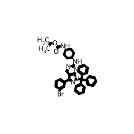 CC(C)OC(=O)N[C@H]1CC[C@H](Nc2ncc3c(-c4cccc(Br)c4)nn(C(c4ccccc4)(c4ccccc4)c4ccccc4)c3n2)CC1